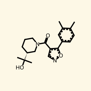 Cc1ccc(-c2oncc2C(=O)N2CCC[C@@H](C(C)(C)O)C2)cc1C